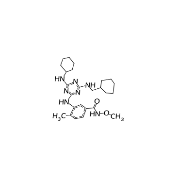 CONC(=O)c1ccc(C)c(Nc2nc(NCC3CCCCC3)nc(NC3CCCCC3)n2)c1